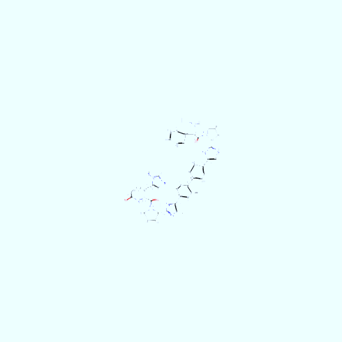 CCN(CC)[C@H](C(=O)N1CCC[C@H]1c1ncc(-c2ccc(-c3ccc(-c4cnc([C@@H]5CCCN5C(=O)[C@@H](Cc5cncn5C)NC(=O)OC)[nH]4)cc3)cc2)[nH]1)c1ccccc1